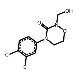 O=C1N(CO)OCCN1c1ccc(Cl)c(Cl)c1